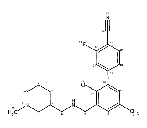 Cc1cc(CNCC2CCCN(C)C2)c(Cl)c(-c2ccc(C#N)c(F)c2)c1